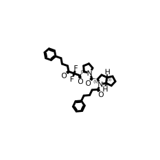 O=C([C@@H]1C[C@@H]2CCC[C@@H]2N1C(=O)CCCc1ccccc1)N1CCC[C@H]1C(=O)C(F)(F)C(=O)CCCc1ccccc1